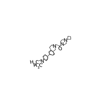 CCN(CC)c1ccc(-c2ccc3c(c2)CCN(CC(=O)N2CCN(C4CCC4)CC2)C3)cc1